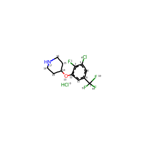 Cl.Fc1c(Cl)cc(C(F)(F)F)cc1OC1CCNCC1